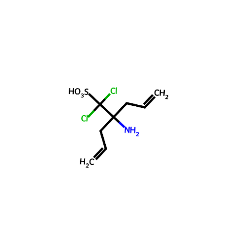 C=CCC(N)(CC=C)C(Cl)(Cl)S(=O)(=O)O